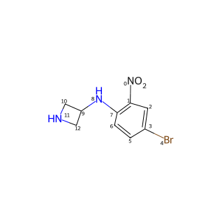 O=[N+]([O-])c1cc(Br)ccc1NC1CNC1